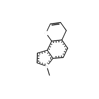 Cn1ccc2c3c(ccc21)CC=CO3